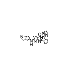 CN1CCc2cc(Nc3ncc4c(=O)n5c(nc4n3)c3ccccc3n5-c3ncccn3)ccc2C1